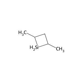 CC1CC(C)[SiH2]1